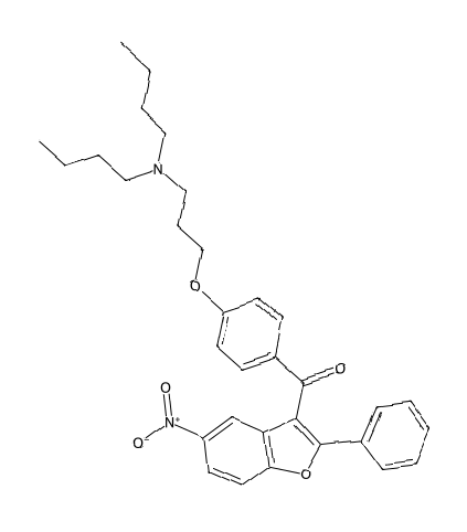 CCCCN(CCCC)CCCOc1ccc(C(=O)c2c(-c3ccccc3)oc3ccc([N+](=O)[O-])cc23)cc1